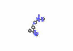 Cc1nc2nc(-c3ccc(CN4CCC(c5n[nH]c(-c6ncccn6)n5)CC4)cc3)c(-c3ccccc3)cn2n1